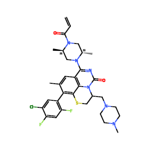 C=CC(=O)N1C[C@H](C)N(c2nc(=O)n3c4c(c(-c5cc(Cl)c(F)cc5F)c(C)cc24)SCC3CN2CCN(C)CC2)C[C@H]1C